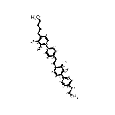 CCCCCc1ccc(-c2ccc(CCc3ccc(-c4ccc(CCC)cn4)c(F)c3F)cc2)c(F)c1F